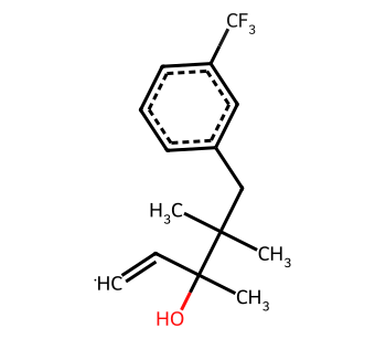 [CH]=CC(C)(O)C(C)(C)Cc1cccc(C(F)(F)F)c1